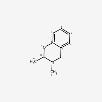 CC1Cc2c[c]ccc2OC1C